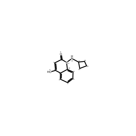 O=c1cc(O)c2ccccc2n1NC1CCC1